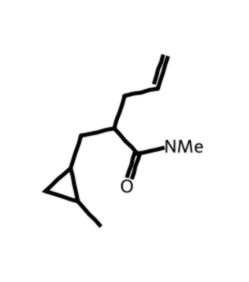 C=CCC(CC1CC1C)C(=O)NC